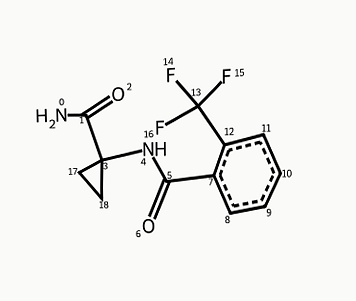 NC(=O)C1(NC(=O)c2ccccc2C(F)(F)F)CC1